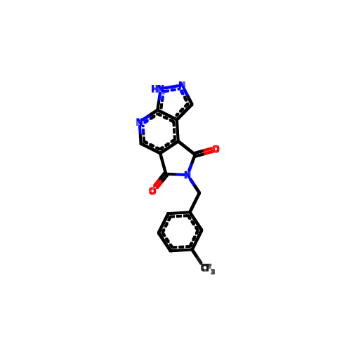 O=C1c2cnc3[nH]ncc3c2C(=O)N1Cc1cccc(C(F)(F)F)c1